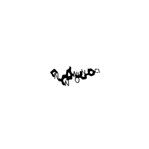 Cc1cc2cc(CN3CCCC3)cnc2cc1NC(=O)c1ccc(-c2ccc(Cl)cc2)nc1